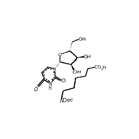 CCCCCCCCCCCCCCCC(=O)O.O=c1ccn([C@@H]2O[C@H](CO)[C@@H](O)[C@H]2O)c(=O)[nH]1